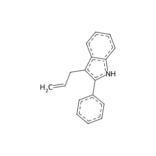 C=CCc1c(-c2ccccc2)[nH]c2ccccc12